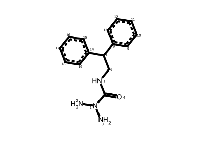 NN(N)C(=O)NCC(c1ccccc1)c1ccccc1